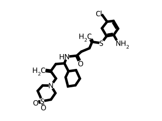 C=C(CC(NC(=O)CCC(=C)SC1=C(N)C=CC(Cl)C1)C1CCCCC1)CN1CCS(=O)(=O)CC1